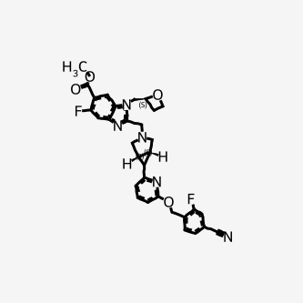 COC(=O)c1cc2c(cc1F)nc(CN1C[C@@H]3C(c4cccc(OCc5ccc(C#N)cc5F)n4)[C@@H]3C1)n2C[C@@H]1CCO1